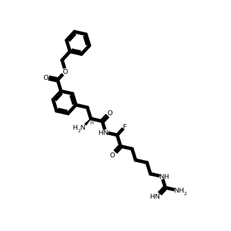 N=C(N)NCCCCC(=O)C(F)NC(=O)[C@@H](N)Cc1cccc(C(=O)OCc2ccccc2)c1